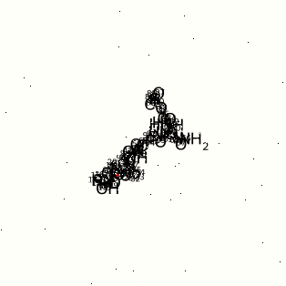 CO[C@H]([C@@H](C)C(=O)N[C@H](C)[C@@H](O)c1ccccc1)[C@@H]1CCCN1C(=O)C[C@@H](OC)[C@H](C1CCCCC1)N(C)C(=O)[C@@H](NC(=O)C(C)(C)N(C)C(=O)OCc1ccc(NC(=O)C(CCCNC(N)=O)NC(=O)[C@@H](NC(=O)OCCOCCN2C(=O)C=CC2=O)C(C)C)cc1)C(C)C